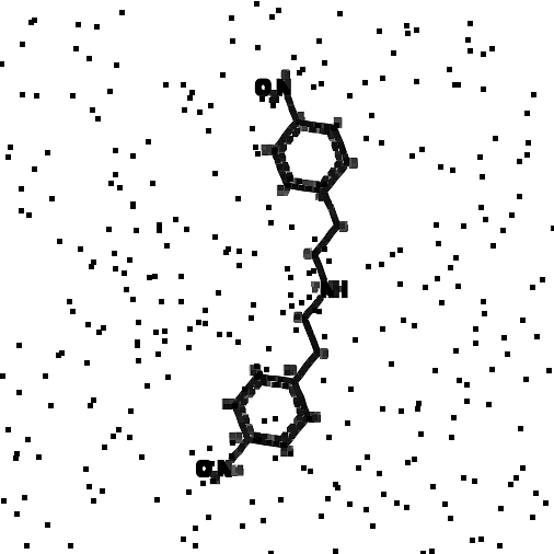 O=[N+]([O-])c1ccc(CCNCCc2ccc([N+](=O)[O-])cc2)cc1